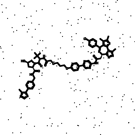 Cc1ncsc1-c1ccc(CNC(=O)[C@@H]2C[C@@H](O)CN2C(=O)C(NC(=O)COCCCOc2ccc(-c3cnc(NC(=O)C[C@@H]4N=C(c5ccc(Cl)cc5)c5c(sc(C)c5C)-n5c(C)nnc54)cn3)cc2)C(C)(C)C)cc1